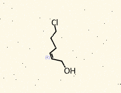 OC/C=C\CCCCl